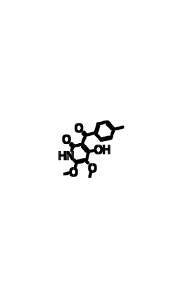 COc1[nH]c(=O)c(C(=O)c2ccc(C)cc2)c(O)c1OC